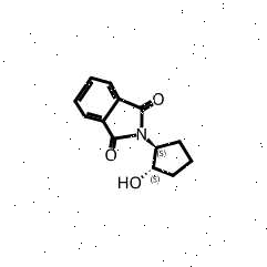 O=C1c2ccccc2C(=O)N1[C@H]1CCC[C@@H]1O